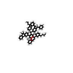 CCCCc1ccc(N2B3c4cc5c(-c6ccccc6)oc(-c6ccccc6)c5cc4N(c4ccc(CCCC)cc4-c4ccccc4)c4cc5c(oc6ccccc65)c(c43)-c3cc4c(cc32)C(C)(C)c2ccccc2-4)cc1